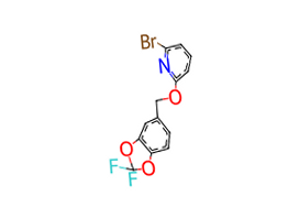 FC1(F)Oc2ccc(COc3cccc(Br)n3)cc2O1